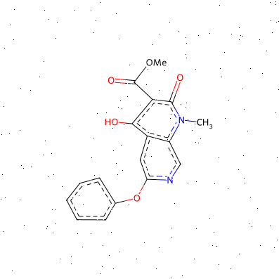 COC(=O)c1c(O)c2cc(Oc3ccccc3)ncc2n(C)c1=O